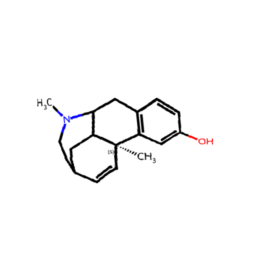 CN1CC2C=C[C@]3(C)c4cc(O)ccc4CC1C3C2